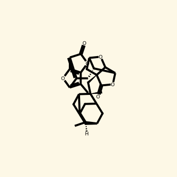 Cc1c2c3oc1c(C[C@@H]1C4C[C@@]5(C[C@]6(C)C7CC8CC(C7)[C@@H](C)CC6C8)C(=O)OC1C5O4)c3C(=O)O2